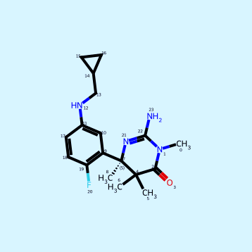 CN1C(=O)C(C)(C)[C@@](C)(c2cc(NCC3CC3)ccc2F)N=C1N